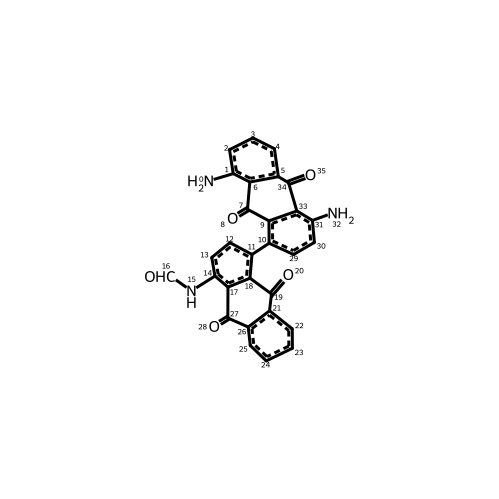 Nc1cccc2c1C(=O)c1c(-c3ccc(NC=O)c4c3C(=O)c3ccccc3C4=O)ccc(N)c1C2=O